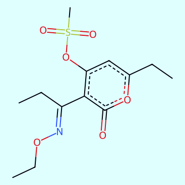 CCON=C(CC)c1c(OS(C)(=O)=O)cc(CC)oc1=O